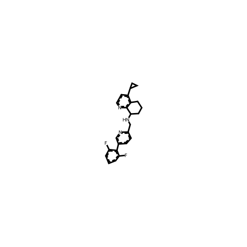 Fc1cccc(F)c1-c1ccc(CNC2CCCc3c(C4CC4)ccnc32)nc1